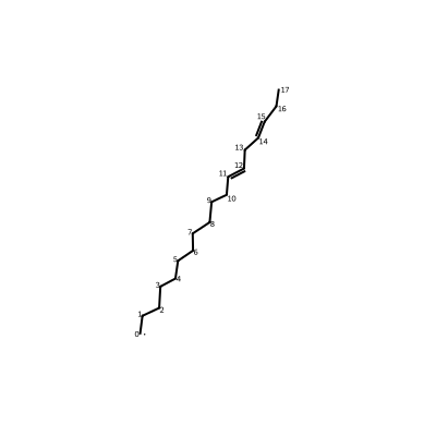 [CH2]CCCCCCCCCCC=CCC=CCC